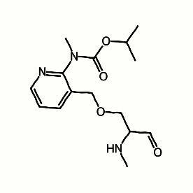 CNC(C=O)COCc1cccnc1N(C)C(=O)OC(C)C